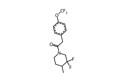 CC1CCN(C(=O)Cc2ccc(OC(F)(F)F)cc2)CC1(F)F